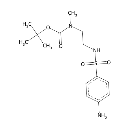 CN(CCNS(=O)(=O)c1ccc(N)cc1)C(=O)OC(C)(C)C